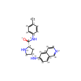 CCc1ccc(NC(=O)[C@@H]2C[C@H](Nc3ccc4cnccc4c3)CN2)cc1